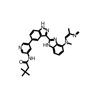 C=N/C(C)=C\N(C)c1cccc2[nH]c(-c3n[nH]c4ccc(-c5cncc(NC(=O)CC(C)(C)C)c5)cc34)nc12